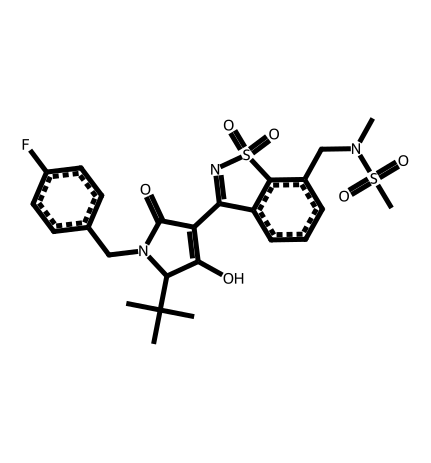 CN(Cc1cccc2c1S(=O)(=O)N=C2C1=C(O)C(C(C)(C)C)N(Cc2ccc(F)cc2)C1=O)S(C)(=O)=O